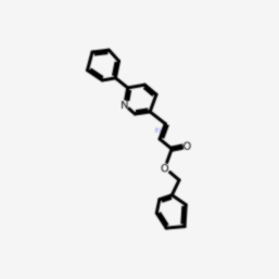 O=C(/C=C/c1ccc(-c2ccccc2)nc1)OCc1ccccc1